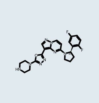 Fc1ccc(F)c([C@H]2CCCN2c2ccn3ncc(-c4nnc(N5CCNCC5)o4)c3n2)c1